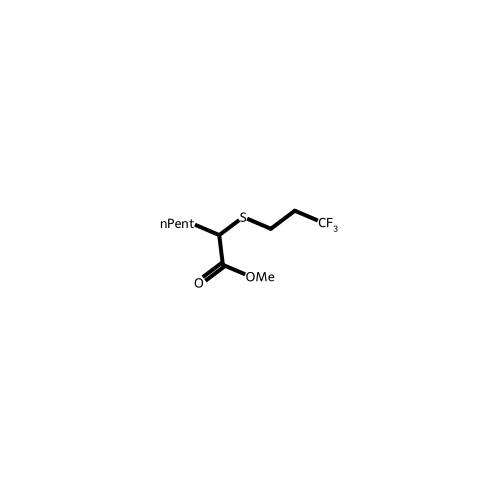 CCCCCC(SCCC(F)(F)F)C(=O)OC